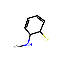 CCCNC1C=CC=CC1S